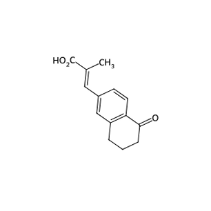 CC(=Cc1ccc2c(c1)CCCC2=O)C(=O)O